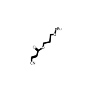 CCCCOCCCOC(=O)C=CC#N